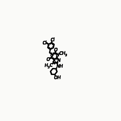 Cn1c(NC2CCCC(O)C2)nc2c1c(=O)n(Cc1ccc(Cl)c(Cl)c1)c(=O)n2C